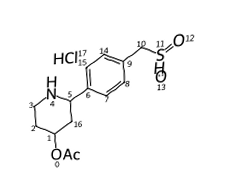 CC(=O)OC1CCNC(c2ccc(C[SH](=O)=O)cc2)C1.Cl